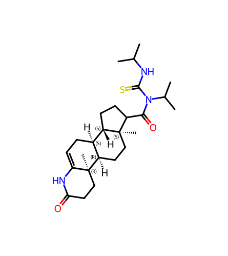 CC(C)NC(=S)N(C(=O)C1CC[C@H]2[C@@H]3CC=C4NC(=O)CC[C@]4(C)[C@@H]3CC[C@]12C)C(C)C